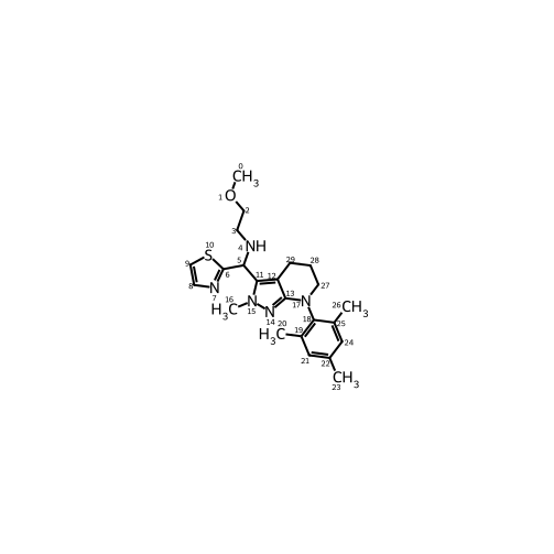 COCCNC(c1nccs1)c1c2c(nn1C)N(c1c(C)cc(C)cc1C)CCC2